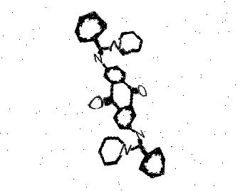 O=C1c2ccc(N=C(c3ccccc3)N3CCCCC3)cc2C(=O)c2ccc(N=C(c3ccccc3)N3CCCCC3)cc21